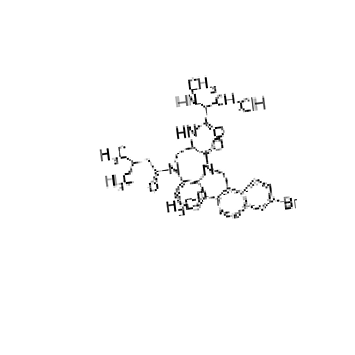 CNC(C)C(=O)NC1CN(C(=O)CC(C)C)c2ccccc2N(Cc2c(OC)ccc3cc(Br)ccc23)C1=O.Cl